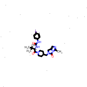 Cc1ncc2n1C(=O)N(CC1CCN(C(=O)[C@H](NC(=O)Nc3ccc(I)cc3)C(C)(C)C)CC1)C2